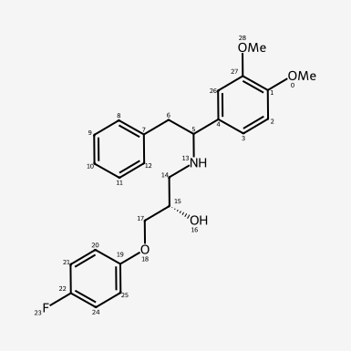 COc1ccc(C(Cc2ccccc2)NC[C@H](O)COc2ccc(F)cc2)cc1OC